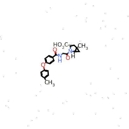 Cc1ccc(Oc2ccc(C(=O)NCC(=O)N3[C@H]4C[C@@]4(C)C[C@H]3C(=O)O)cc2)cc1